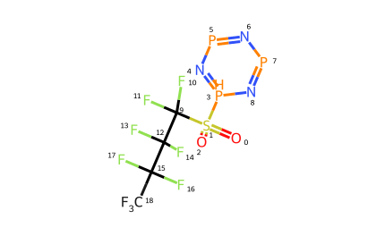 O=S(=O)([PH]1=NP=NP=N1)C(F)(F)C(F)(F)C(F)(F)C(F)(F)F